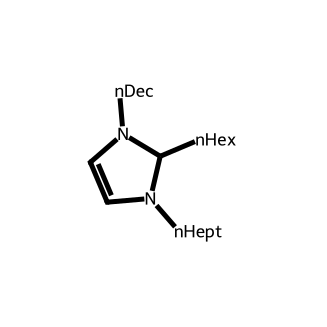 CCCCCCCCCCN1C=CN(CCCCCCC)C1CCCCCC